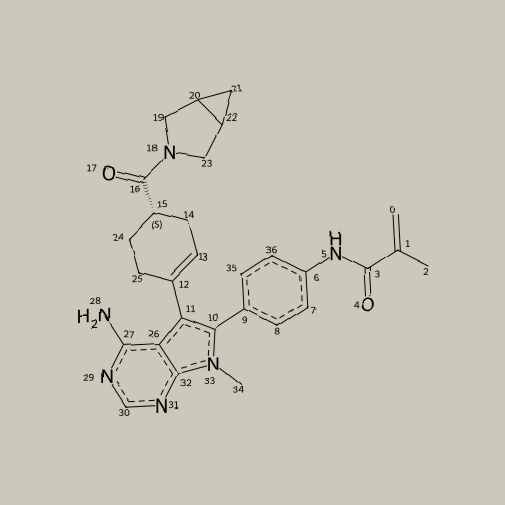 C=C(C)C(=O)Nc1ccc(-c2c(C3=CC[C@@H](C(=O)N4CC5CC5C4)CC3)c3c(N)ncnc3n2C)cc1